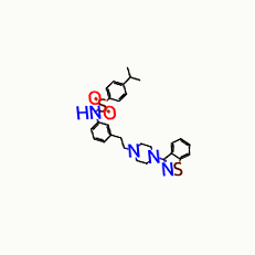 CC(C)c1ccc(S(=O)(=O)Nc2cccc(CCN3CCN(c4nsc5ccccc45)CC3)c2)cc1